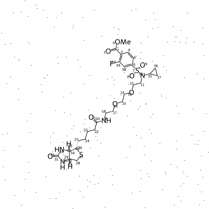 COC(=O)c1ccc(S(=O)(=O)N(CCOCCOCCNC(=O)CCCC[C@@H]2SC[C@@H]3NC(=O)N[C@@H]32)C2CC2)cc1F